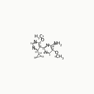 COc1cnc(-c2c(OC)ncnc2C2CC2)nc1N